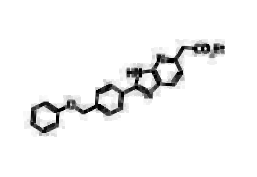 CCOC(=O)Cc1ccc2nc(-c3ccc(COc4ccccc4)cc3)[nH]c2n1